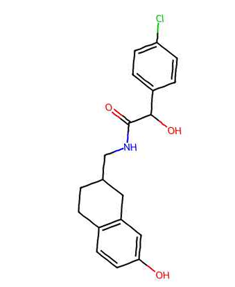 O=C(NCC1CCc2ccc(O)cc2C1)C(O)c1ccc(Cl)cc1